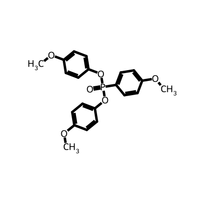 COc1ccc(OP(=O)(Oc2ccc(OC)cc2)c2ccc(OC)cc2)cc1